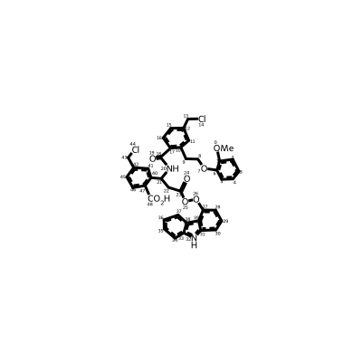 COc1ccccc1OCCc1cc(CCl)ccc1C(=O)NC(CC(=O)OOc1cccc2[nH]c3ccccc3c12)c1cc(CCl)ccc1C(=O)O